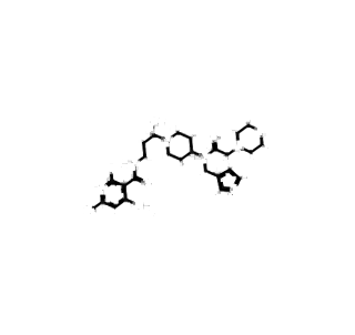 Cc1cc(Cl)nc(Cl)c1C(=O)NCC[C@@H](C)N1CCC(N(Cc2ccsc2)C(=O)CN2CCOCC2)CC1